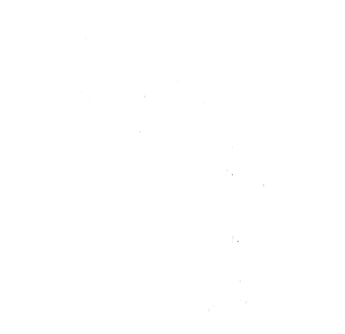 CCC(O)c1ccc(C(=O)N2CCN(C3CC3)CC2)cc1